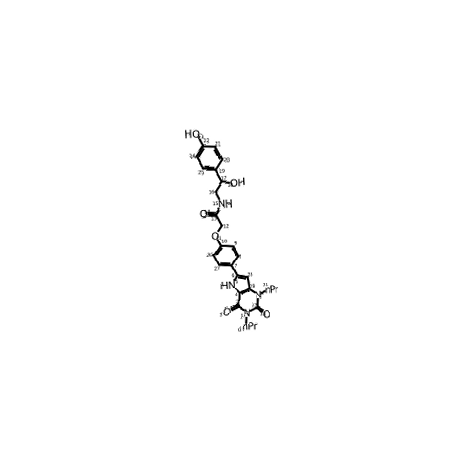 CCCn1c(=O)c2[nH]c(-c3ccc(OCC(=O)NCC(O)c4ccc(O)cc4)cc3)cc2n(CCC)c1=O